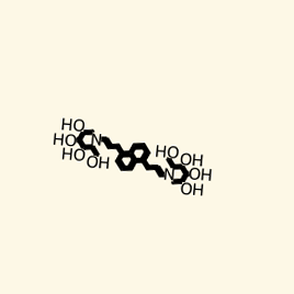 OCC1C(O)C(O)C(O)CN1C=CCc1cccc2c(CC=CN3CC(O)C(O)C(O)C3CO)cccc12